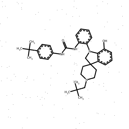 CC(C)(C)CN1CCC2(CC1)CN(c1ccccc1NC(=O)Nc1ccc(C(C)(C)C)cc1)c1c(O)cccc12